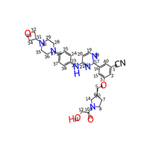 N#Cc1cc(OC[C@H]2CCN(C(=O)CO)C2)cc(-c2nccc(Nc3ccc(N4CCN(C5COC5)CC4)cc3)n2)c1